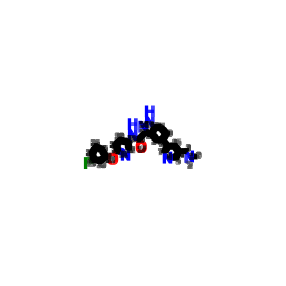 CN(C)Cc1cncc(-c2ccc3[nH]nc(C(=O)Nc4ccc(Oc5cccc(F)c5)nc4)c3c2)c1